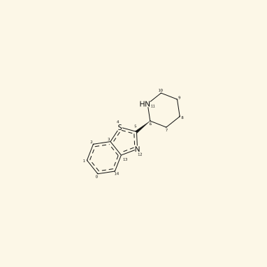 c1ccc2sc([C@@H]3CCCCN3)nc2c1